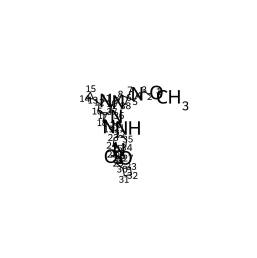 COCCN1CC2(C1)CN(c1nc(C3CC3)cc3cnc(NC4CCN(S(=O)(=O)CC5CCC5)CC4)nc13)C2